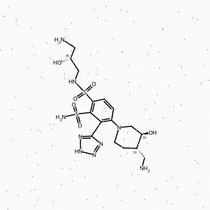 NC[C@@H](O)CNS(=O)(=O)c1ccc(N2CC[C@@H](CN)[C@H](O)C2)c(-c2nn[nH]n2)c1S(N)(=O)=O